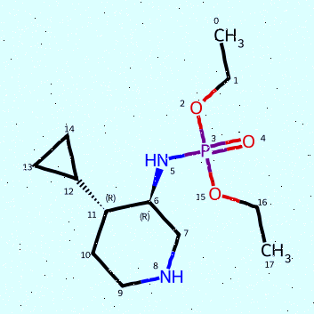 CCOP(=O)(N[C@H]1CNCC[C@@H]1C1CC1)OCC